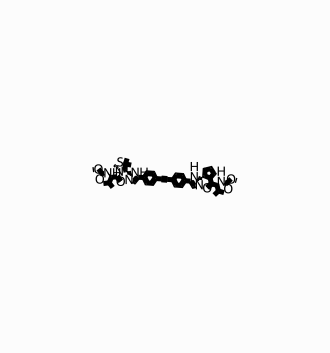 COC(=O)N[C@H](C(=O)C1CCC[C@H]1c1ncc(-c2ccc(C#Cc3ccc(-c4cnc([C@H]5N(C(=O)[C@@H](NC(=O)OC)C(C)C)CSC5(C)C)[nH]4)cc3)cc2)[nH]1)C(C)C